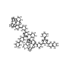 C1=CC2=C(CC1)C1(c3ccccc3Oc3c(-c4cccc(-c5cc(-c6ccc7ccccc7c6)nc(-c6ccccc6)n5)c4)cccc31)c1cc(-c3ccccc3-c3cc(-c4cccc(-c5cccc6c5Oc5ccccc5C65c6ccccc6-c6ccccc65)c4)nc(-c4ccc(-c5ccccc5)cc4)n3)ccc12